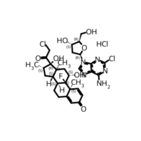 C[C@H]1C[C@H]2[C@@H]3CCC4=CC(=O)C=C[C@]4(C)[C@@]3(F)[C@@H](O)C[C@]2(C)[C@@]1(O)C(=O)CCl.Cl.Nc1nc(Cl)nc2c1ncn2[C@H]1C[C@H](O)[C@@H](CO)O1